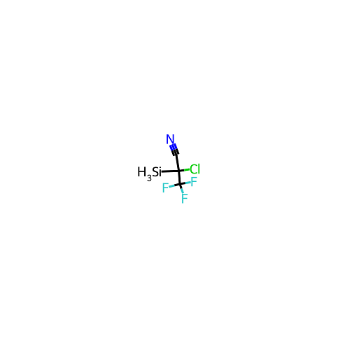 N#CC([SiH3])(Cl)C(F)(F)F